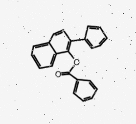 O=C(Oc1c(-c2ccccc2)ccc2ccccc12)c1ccccc1